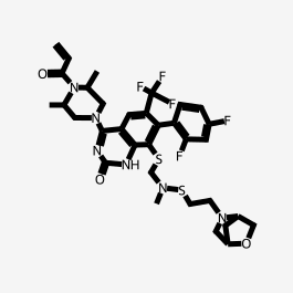 C=CC(=O)N1C(C)CN(c2nc(=O)[nH]c3c(SCN(C)SCCN4CC5CC4CO5)c(-c4ccc(F)cc4F)c(C(F)(F)F)cc23)CC1C